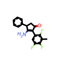 Cc1c(F)c(F)cc(C2=C(N)C(c3ccccc3)CC2=O)c1F